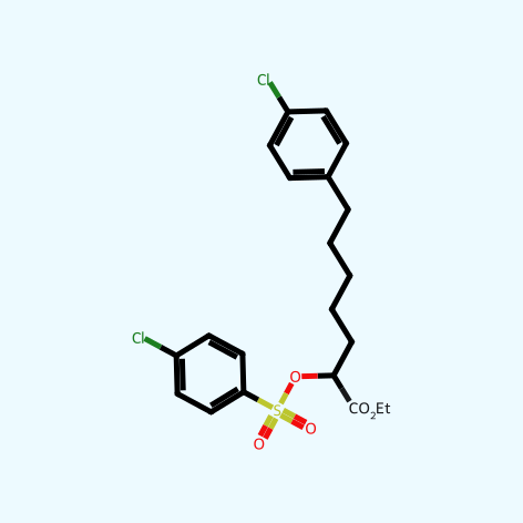 CCOC(=O)C(CCCCCc1ccc(Cl)cc1)OS(=O)(=O)c1ccc(Cl)cc1